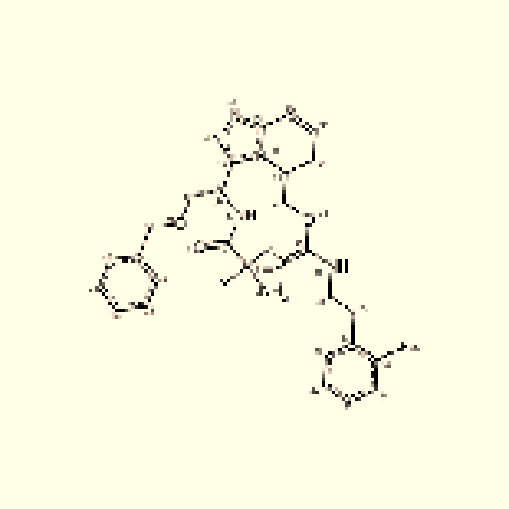 CC(C)(N)C(=O)N[C@H](COCc1ccccc1)c1nnc2n1C(COC(=O)NCCc1ccccc1F)CC=C2